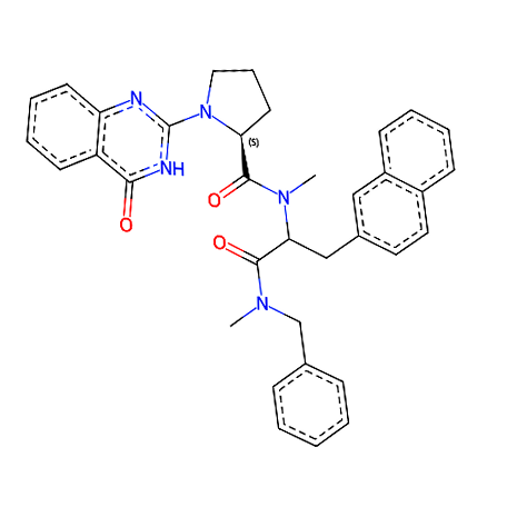 CN(Cc1ccccc1)C(=O)C(Cc1ccc2ccccc2c1)N(C)C(=O)[C@@H]1CCCN1c1nc2ccccc2c(=O)[nH]1